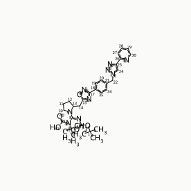 CC(C)(C)OC(=O)N=C(N1CCCC1Cc1nc(-c2ccc(Cn3cc(-c4ccccn4)nn3)cc2)no1)N(C(=O)O)C(C)(C)C